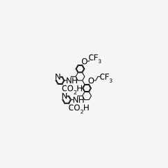 O=C(O)c1ccncc1NCC1CCCc2cc(OCCC(F)(F)F)c(C3Cc4cc(OCC(F)(F)F)ccc4C(CNc4cnccc4C(=O)O)C3)cc21